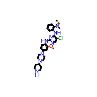 COc1cc(N2CCN(C3CCNCC3)CC2)ccc1Nc1ncc(Cl)c(Nc2ccccc2N(C)SC)n1